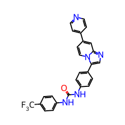 O=C(Nc1ccc(-c2cnc3cc(-c4ccncc4)ccn23)cc1)Nc1ccc(C(F)(F)F)cc1